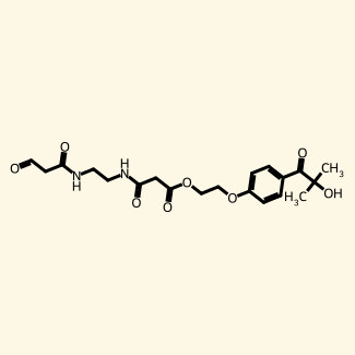 CC(C)(O)C(=O)c1ccc(OCCOC(=O)CC(=O)NCCNC(=O)CC=O)cc1